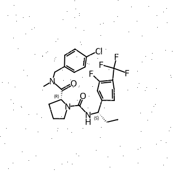 CC[C@H](NC(=O)N1CCC[C@@H]1C(=O)N(C)Cc1ccc(Cl)cc1)c1ccc(C(F)(F)F)c(F)c1